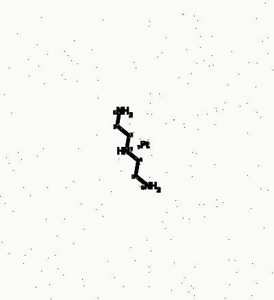 NCCNCCN.[Pt]